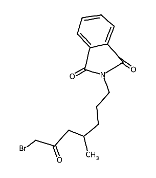 CC(CCCN1C(=O)c2ccccc2C1=O)CC(=O)CBr